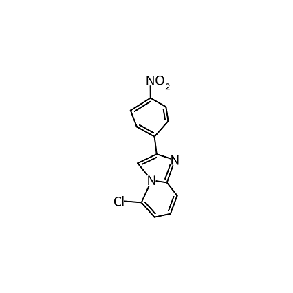 O=[N+]([O-])c1ccc(-c2cn3c(Cl)cccc3n2)cc1